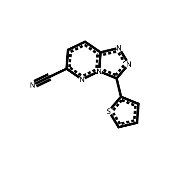 N#Cc1ccc2nnc(-c3cccs3)n2n1